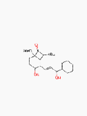 CCCCC1C(=O)C2(OC)CCC(O)C(C=CC(O)C3CCCCC3)C12